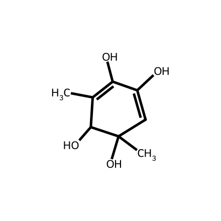 CC1=C(O)C(O)=CC(C)(O)C1O